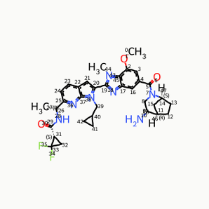 COc1cc(C(=O)N2C[C@H](N)[C@@H]3CC[C@H]2C3)cc2nc(-c3cc4ccc([C@@H](C)NC(=O)[C@@H]5CC5(F)F)nc4n3CC3CC3)n(C)c12